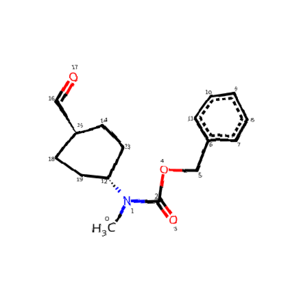 CN(C(=O)OCc1ccccc1)[C@H]1CC[C@H](C=O)CC1